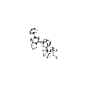 CN(CC(=O)NC(C)(C)C)c1nc(-c2ncco2)nc2c1CCC2